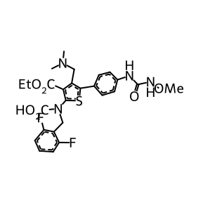 CCOC(=O)c1c(N(Cc2c(F)cccc2F)C(=O)O)sc(-c2ccc(NC(=O)NOC)cc2)c1CN(C)C